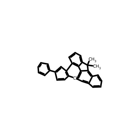 CC1(C)c2cccc(-c3cc(-c4ccccc4)ccc3Cl)c2-c2ccc3ccccc3c21